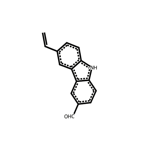 C=Cc1ccc2[nH]c3ccc(C=O)cc3c2c1